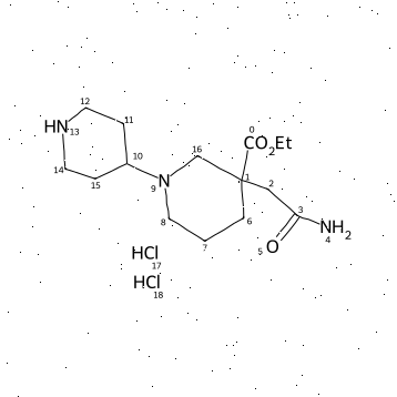 CCOC(=O)C1(CC(N)=O)CCCN(C2CCNCC2)C1.Cl.Cl